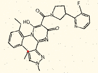 CCc1cccc(CC)c1-n1c(-c2ccn(C)n2)nc(=O)c(C(=O)N2CCC(c3ncccc3F)C2)c1O